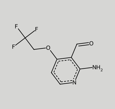 Nc1nccc(OCC(F)(F)F)c1C=O